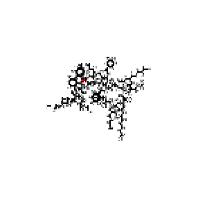 CCCCCCCCCCN(CC(=O)N(CC(=O)N(CCCCCCCCCC)CC(=O)N(CC(N)=O)CC(CC)CCCC)CC(CC)CCCC)C(=O)CN(CCc1ccccc1)C(=O)CN(CCc1ccccc1)C(=O)CN(CCN)C(=O)CN(CCc1ccccc1)C(=O)CN(CCc1ccccc1)C(=O)CN(CCN)C(=O)CNCCCN